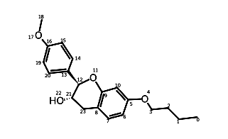 CCCCOc1ccc2c(c1)O[C@H](c1ccc(OC)cc1)[C@@H](O)C2